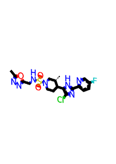 Cc1nnc(CNS(=O)(=O)N2CCC(c3[nH]c(-c4ccc(F)cn4)nc3Cl)[C@@H](C)C2)o1